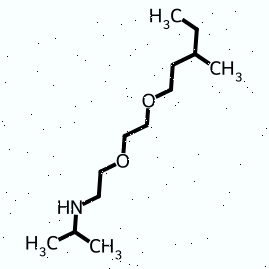 CCC(C)CCOCCOCCNC(C)C